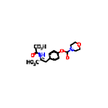 O=C(O)C(=O)N[C@H](Cc1ccc(OC(=O)N2CCOCC2)cc1)C(=O)O